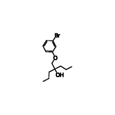 CCCC(O)(CCC)COc1cccc(Br)c1